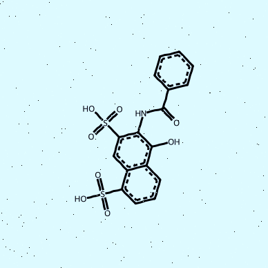 O=C(Nc1c(S(=O)(=O)O)cc2c(S(=O)(=O)O)cccc2c1O)c1ccccc1